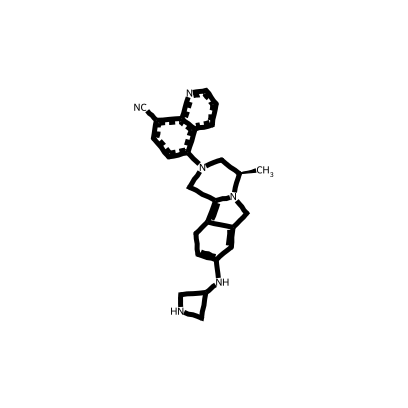 C[C@@H]1CN(c2ccc(C#N)c3ncccc23)CC2=C3CC=C(NC4CNC4)C=C3CN21